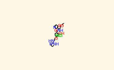 CCOC(=O)CC(NC(=O)c1ccc(OCCNC2=NCCCN2)cc1O)c1cccnc1.Cl.Cl